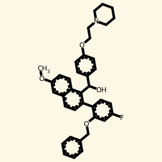 COc1ccc2c(C(O)c3ccc(OCCN4CCCCC4)cc3)c(-c3ccc(F)cc3OCc3ccccc3)ccc2c1